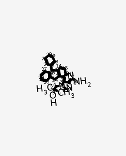 CC(C)(O)Cn1cnc2c(N)nc3ccc(Cc4ccccc4)c(Cc4ccccc4)c3c21